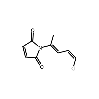 C/C(=C\C=C/Cl)N1C(=O)C=CC1=O